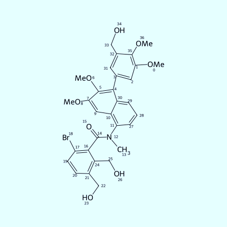 COc1cc(-c2c(OC)c(OC)cc3c(N(C)C(=O)c4c(Br)ccc(CO)c4CO)cccc23)cc(CO)c1OC